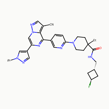 CCC1(C(=O)NC[C@H]2C[C@H](F)C2)CCN(c2ccc(-c3nc(-c4cnn(C(C)C)c4)cn4ncc(C#N)c34)cn2)CC1